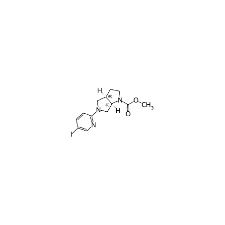 COC(=O)N1CC[C@@H]2CN(c3ccc(I)cn3)C[C@@H]21